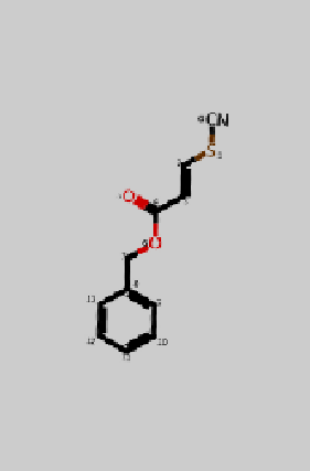 N#CS/C=C/C(=O)OCc1ccccc1